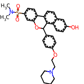 CN(C)S(=O)(=O)c1ccc2c(c1)OC(c1ccc(OCCN3CCCCC3)cc1)c1c-2ccc2cc(O)ccc12